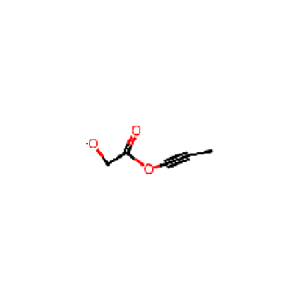 CC#COC(=O)C[O]